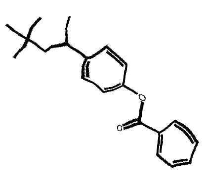 CC(CC(C)(C)C)c1ccc(OC(=O)c2ccccc2)cc1